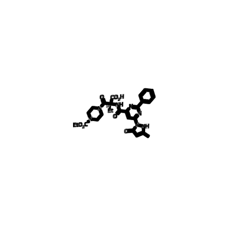 CCOC(=O)N1CCN(C(=O)[C@](CC)(NC(=O)c2cc(-n3[nH]c(C)cc3=O)nc(-c3ccccc3)n2)C(=O)O)CC1